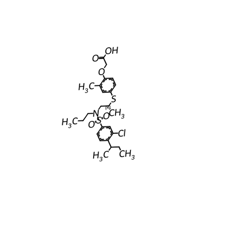 CCCN(C[C@@H](C)Sc1ccc(OCC(=O)O)c(C)c1)S(=O)(=O)c1ccc(C(C)CC)c(Cl)c1